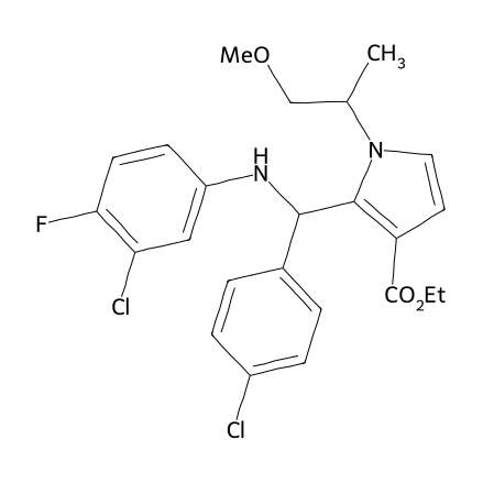 CCOC(=O)c1ccn(C(C)COC)c1C(Nc1ccc(F)c(Cl)c1)c1ccc(Cl)cc1